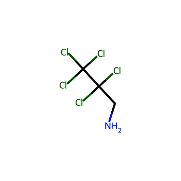 NCC(Cl)(Cl)C(Cl)(Cl)Cl